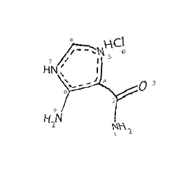 Cl.NC(=O)c1nc[nH]c1N